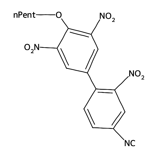 [C-]#[N+]c1ccc(-c2cc([N+](=O)[O-])c(OCCCCC)c([N+](=O)[O-])c2)c([N+](=O)[O-])c1